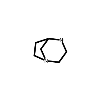 C1CN2CCC(C2)[N]1